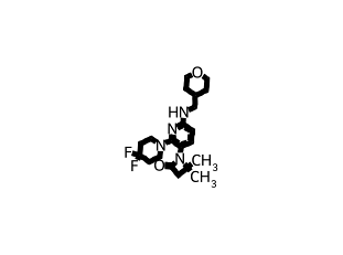 CC1(C)CC(=O)N1c1ccc(NCC2CCOCC2)nc1N1CCC(F)(F)CC1